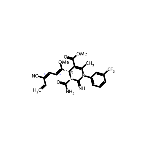 C=C/C(C#N)=C\C=C(/OC)[C@@H]1C(C(=O)OC)=C(C)N(c2cccc(C(F)(F)F)c2)C(=N)N1C(N)=O